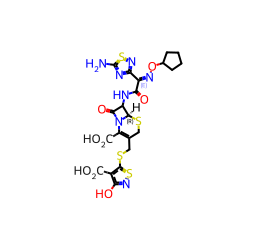 Nc1nc(/C(=N\OC2CCCC2)C(=O)NC2C(=O)N3C(C(=O)O)=C(CSc4snc(O)c4C(=O)O)CS[C@H]23)ns1